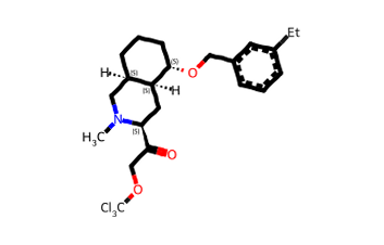 CCc1cccc(CO[C@H]2CCC[C@@H]3CN(C)[C@H](C(=O)COC(Cl)(Cl)Cl)C[C@@H]32)c1